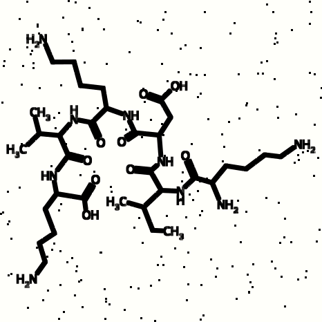 CCC(C)C(NC(=O)C(N)CCCCN)C(=O)NC(CC(=O)O)C(=O)NC(CCCCN)C(=O)NC(C(=O)NC(CCCCN)C(=O)O)C(C)C